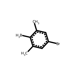 Bc1c(C)cc(Br)cc1C